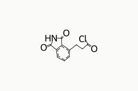 O=C(Cl)CCc1cccc2c1C(=O)NC2=O